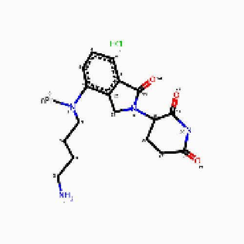 CCCN(CCCCN)c1cccc2c1CN(C1CCC(=O)NC1=O)C2=O.Cl